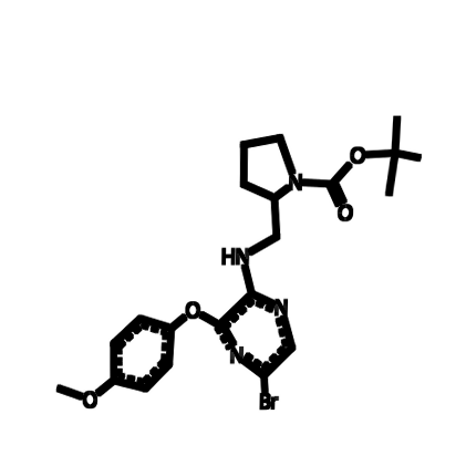 COc1ccc(Oc2nc(Br)cnc2NCC2CCCN2C(=O)OC(C)(C)C)cc1